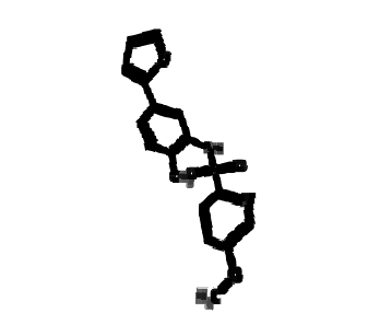 COc1ccc(S(=O)(=O)Nc2cc(-c3ccco3)ccc2C)nc1